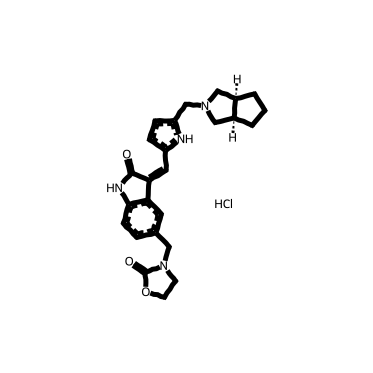 Cl.O=C1Nc2ccc(CN3CCOC3=O)cc2C1=Cc1ccc(CN2C[C@H]3CCC[C@H]3C2)[nH]1